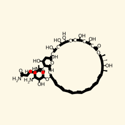 C[C@@H]1[C@H](O)[C@@H](C)/C=C/C=C/C=C/C=C/C=C/C=C/C=C/[C@H](O[C@@H]2O[C@H](C)[C@@H](O)[C@H](N)[C@@H]2O)C[C@@H]2O[C@](O)(C[C@@H](O)C[C@@H](O)[C@H](O)CC[C@@H](O)C[C@@H](O)CC(=O)O[C@H]1C)C[C@H](O)[C@H]2C(=O)NCCCC(N)=O